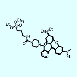 CCO[Si](CCCNC(=O)N1CCN(C(=O)c2ccccc2C2=C3C=CC(N(C)CC)=CC3OC3=CC(=[N+](CC)CC)C=CC32)CC1)(OCC)OCC